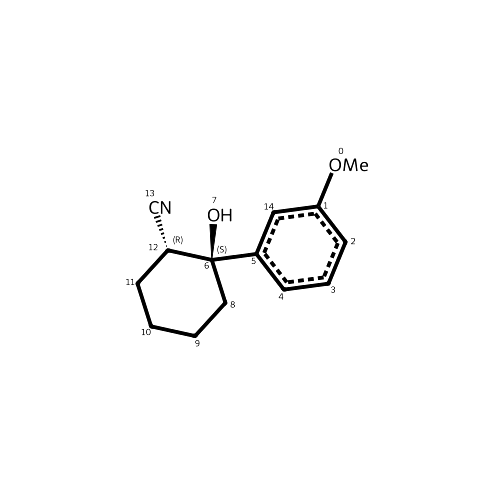 COc1cccc([C@]2(O)CCCC[C@@H]2C#N)c1